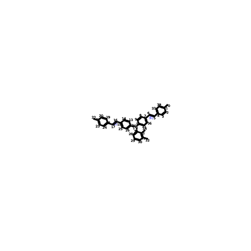 Cc1ccc(/C=C/c2ccc(N(c3ccc(/C=C/c4ccc(C)cc4)cc3)c3cccc(C)c3C)cc2)cc1